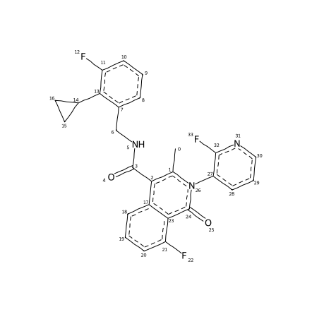 Cc1c(C(=O)NCc2cccc(F)c2C2CC2)c2cccc(F)c2c(=O)n1-c1cccnc1F